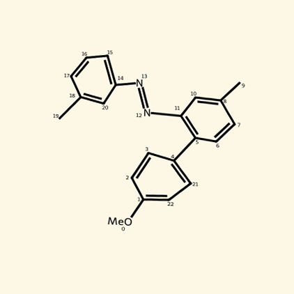 COc1ccc(-c2ccc(C)cc2/N=N/c2cccc(C)c2)cc1